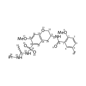 COc1ccc(F)cc1C(=O)NC1COc2cc(OC)c(S(=O)(=O)NC(=S)NC(C)C)cc2C1